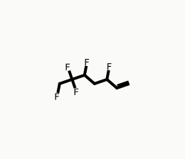 C=CC(F)CC(F)C(F)(F)CF